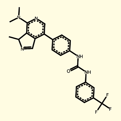 CC1N=Cc2c(-c3ccc(NC(=O)Nc4cccc(C(F)(F)F)c4)cc3)cnc(N(C)C)c21